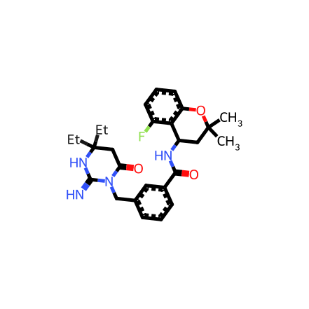 CCC1(CC)CC(=O)N(Cc2cccc(C(=O)NC3CC(C)(C)Oc4cccc(F)c43)c2)C(=N)N1